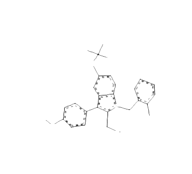 CSc1ccc(-c2c(CO)n(Cc3ccccc3Cl)c3ccc(OC(F)(F)F)cc23)cc1